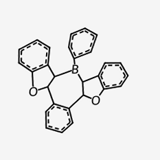 c1ccc(B2C3c4ccccc4OC3c3ccccc3C3Oc4ccccc4C23)cc1